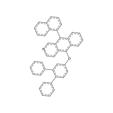 c1ccc(-c2ccc(Oc3c4ccccc4c(-c4cccc5ccccc45)c4cnccc34)cc2-c2ccccc2)cc1